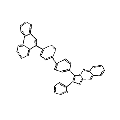 c1ccc(-c2nc3cc4ccccc4cn3c2-c2ccc(-c3ccc(-c4cc5ccccc5c5ccccc45)cc3)cc2)nc1